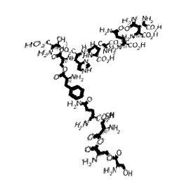 C[C@@H](OC(=O)[C@@H](N)COC(=O)[C@@H](N)Cc1ccccc1)[C@H](N)C(=O)O.C[C@H](N)C(=O)O.NC(=O)CC[C@H](N)C(=O)O.NC(=O)CC[C@H](N)C(=O)O.NC(=O)C[C@H](N)C(=O)O.NCC(=O)O.N[C@@H](CO)C(=O)OC[C@H](N)C(=O)OC(=O)[C@@H](N)CS.N[C@@H](Cc1c[nH]cn1)C(=O)O.O=C(O)[C@@H]1CCCN1